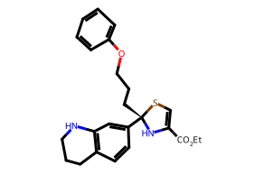 CCOC(=O)C1=CS[C@@](CCCOc2ccccc2)(c2ccc3c(c2)NCCC3)N1